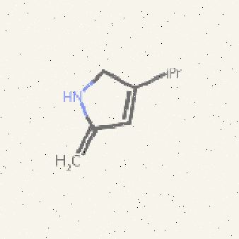 C=C1C=C(C(C)C)CN1